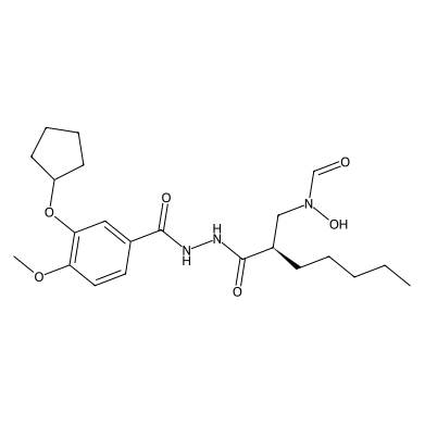 CCCCC[C@H](CN(O)C=O)C(=O)NNC(=O)c1ccc(OC)c(OC2CCCC2)c1